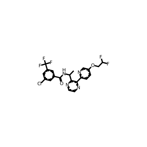 CC(NC(=O)c1cc(Cl)cc(C(F)(F)F)c1)c1nccnc1-c1ccc(OCC(F)F)cn1